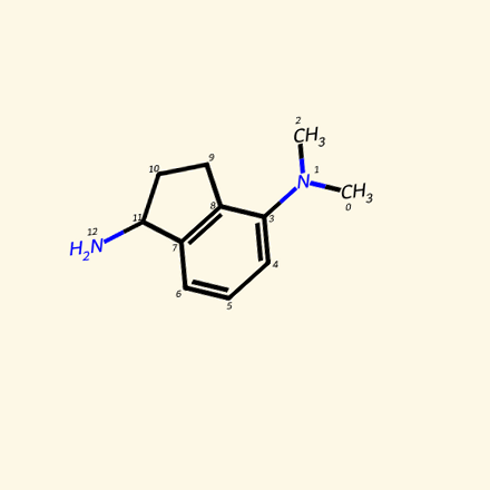 CN(C)c1cccc2c1CCC2N